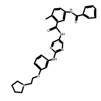 Cc1ccc(NC(=O)c2ccccc2)cc1C(=O)Nc1cnc(Nc2cccc(OCCN3CCCC3)c2)nc1